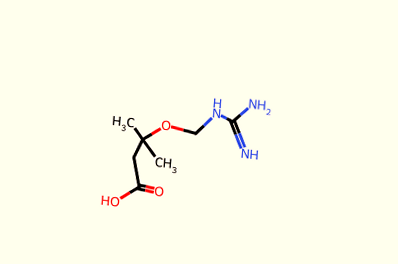 CC(C)(CC(=O)O)OCNC(=N)N